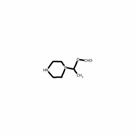 CC(O[C]=O)N1CCNCC1